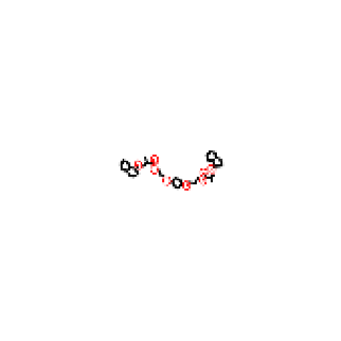 CC(=COc1cccc2ccccc12)C(=O)OCCCOc1ccc(OCCCOC(=O)C(C)=COc2cccc3ccccc23)cc1